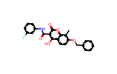 Cc1c(OCc2ccccc2)ccc2c(O)c(C(=O)Nc3cccc(F)c3)c(=O)oc12